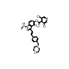 CC(Oc1ccc2c(c1)c(/C=C/c1ccc(CN3CCOCC3)cc1)nn2PI)c1c(Cl)cncc1Cl